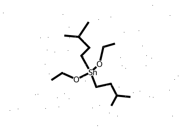 CC[O][Sn]([CH2]CC(C)C)([CH2]CC(C)C)[O]CC